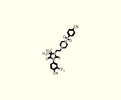 CC1(C)C(=O)N(c2ccc(C#N)c(C(F)(F)F)c2)C(=S)N1CCN1CCN(S(=O)(=O)c2ccc(C#N)cc2)CC1